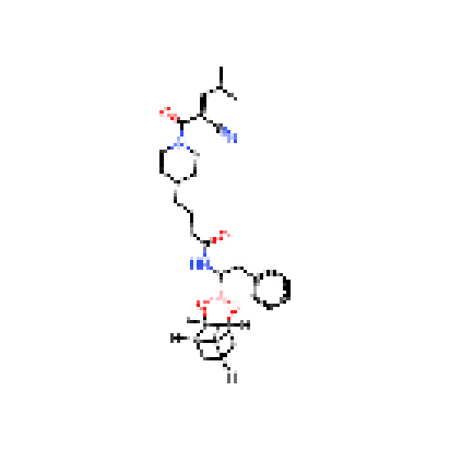 CC(C)C=C(C#N)C(=O)N1CCC(CCCC(=O)NC(Cc2ccccc2)B2O[C@@H]3C[C@@H]4C[C@@H](C4(C)C)[C@]3(C)O2)CC1